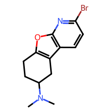 CN(C)C1CCc2oc3nc(Br)ccc3c2C1